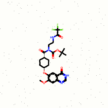 COc1cc2nc[nH]c(=O)c2cc1O[C@H]1CC[C@@H](C(=O)N(CCNC(=O)C(F)(F)F)C(=O)OC(C)(C)C)CC1